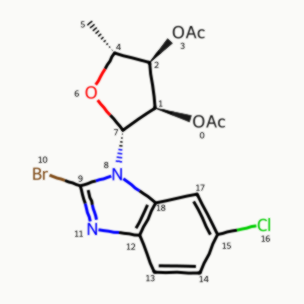 CC(=O)O[C@@H]1[C@H](OC(C)=O)[C@@H](C)O[C@H]1n1c(Br)nc2ccc(Cl)cc21